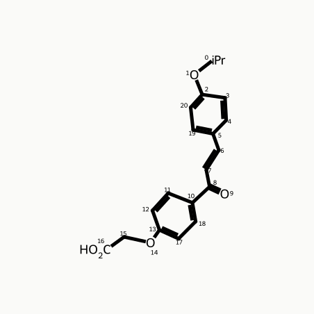 CC(C)Oc1ccc(/C=C/C(=O)c2ccc(OCC(=O)O)cc2)cc1